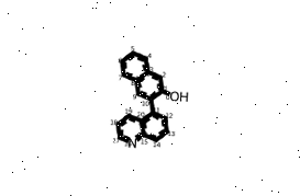 Oc1cc2ccccc2cc1-c1cccc2ncccc12